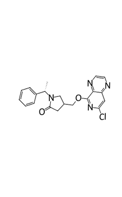 C[C@@H](c1ccccc1)N1CC(COc2nc(Cl)cc3nccnc23)CC1=O